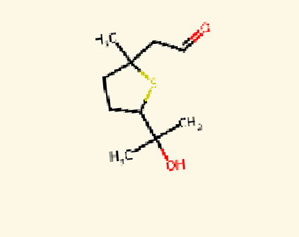 CC1(CC=O)CCC(C(C)(C)O)S1